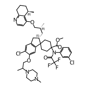 COC(=O)C1(N(C(=O)C(F)(F)F)c2cccc(Cl)c2)CCC2(CC1)c1cc(OCC(C)N3CCN(C)CC3)c(Cl)cc1C[C@@H]2C[C@@H](C)COc1ccnc2c1[C@H](C)CCC2